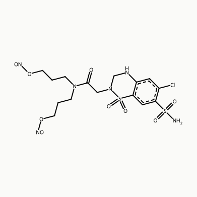 NS(=O)(=O)c1cc2c(cc1Cl)NCN(CC(=O)N(CCCON=O)CCCON=O)S2(=O)=O